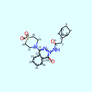 O=C(CC1CC2CCC1C2)Nn1nc(N2CCS(=O)(=O)CC2)c2ccccc2c1=O